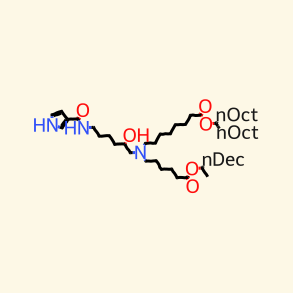 CCCCCCCCCCC(C)OC(=O)CCCCCN(CCCCCCCC(=O)OC(CCCCCCCC)CCCCCCCC)CC(O)CCCCNC(=O)c1cc[nH]c1